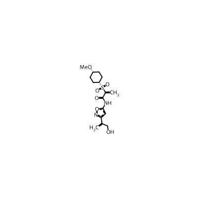 C=C(CO)c1cc(NC(=O)C(=C)S(=O)(=O)[C@H]2CC[C@@H](OC)CC2)on1